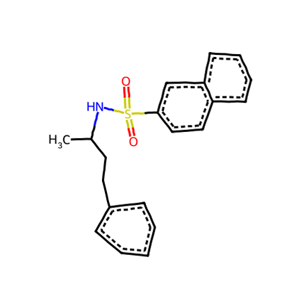 CC(CCc1ccccc1)NS(=O)(=O)c1ccc2ccccc2c1